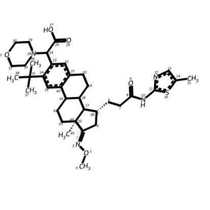 CO/N=C1\C[C@@H](CCC(=O)Nc2ncc(C)s2)C2C3CCc4cc(C(C(=O)O)N5CCOCC5)c(C(C)(C)C)cc4C3CC[C@]12C